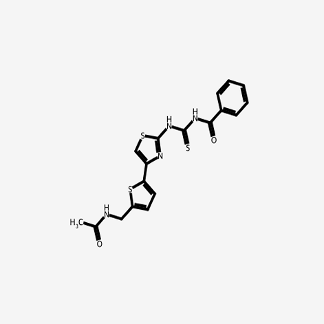 CC(=O)NCc1ccc(-c2csc(NC(=S)NC(=O)c3ccccc3)n2)s1